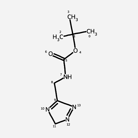 CC(C)(C)OC(=O)NCC1=NCN=N1